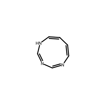 c1cc[nH]cncnc1